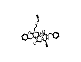 C#CCOCCN1C[C@H]2N(C(=O)CN(CC#C)N2C(=O)NCc2ccccc2)[C@@H](Cc2ccccc2)C1=O